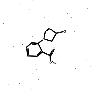 COC(=O)c1ccccc1N1CCC(Cl)C1